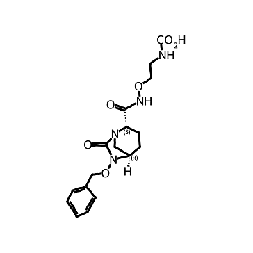 O=C(O)NCCONC(=O)[C@@H]1CC[C@@H]2CN1C(=O)N2OCc1ccccc1